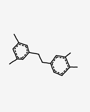 Cc1cc(C)cc(CCc2ccc(C)c(C)c2)c1